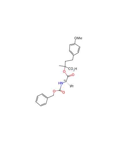 COc1ccc(CCC(C)(OC(=O)[C@@H](NC(=O)OCc2ccccc2)C(C)C)C(=O)O)cc1